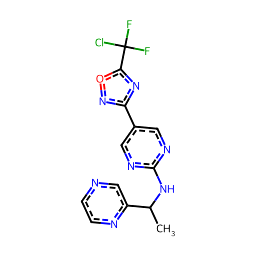 CC(Nc1ncc(-c2noc(C(F)(F)Cl)n2)cn1)c1cnccn1